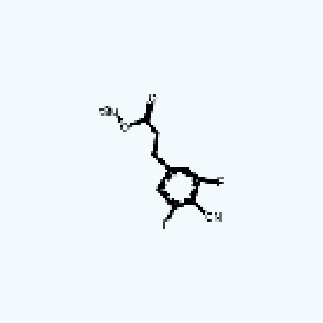 CC(C)(C)OC(=O)CCc1cc(F)c(C#N)c(F)c1